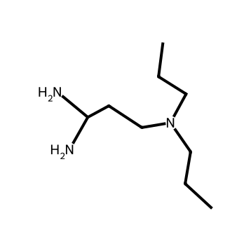 CCCN(CCC)CCC(N)N